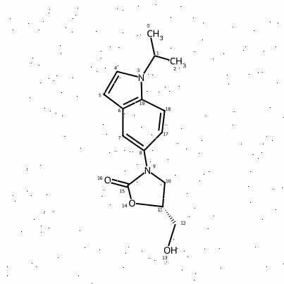 CC(C)n1ccc2cc(N3C[C@H](CO)OC3=O)ccc21